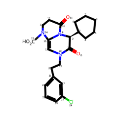 O=C1[C@H](C2CCCCC2)N2C(=O)CCN(C(=O)O)C2=CN1CCc1cccc(Cl)c1